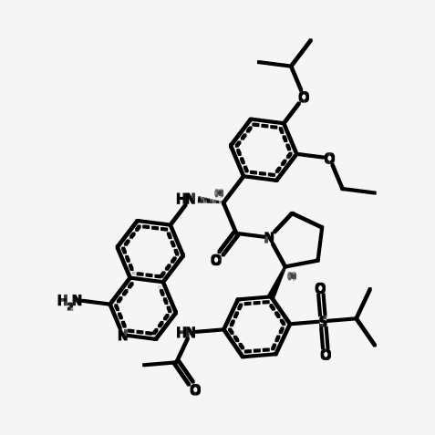 CCOc1cc([C@@H](Nc2ccc3c(N)nccc3c2)C(=O)N2CCC[C@H]2c2cc(NC(C)=O)ccc2S(=O)(=O)C(C)C)ccc1OC(C)C